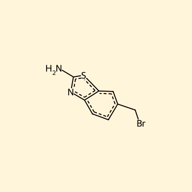 Nc1nc2ccc(CBr)cc2s1